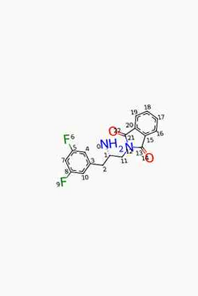 N[C@@H](Cc1cc(F)cc(F)c1)CN1C(=O)c2ccccc2C1=O